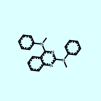 CN(c1ccccc1)c1nc(N(C)c2ccccc2)c2ccccc2n1